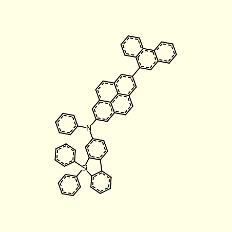 c1ccc(N(c2ccc3c(c2)[Si](c2ccccc2)(c2ccccc2)c2ccccc2-3)c2cc3ccc4cc(-c5cc6ccccc6c6ccccc56)cc5ccc(c2)c3c45)cc1